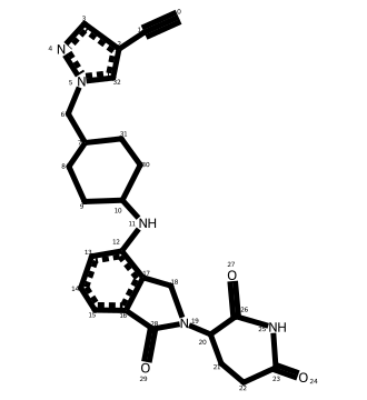 C#Cc1cnn(CC2CCC(Nc3cccc4c3CN(C3CCC(=O)NC3=O)C4=O)CC2)c1